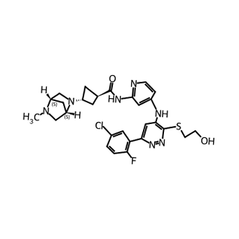 CN1C[C@@H]2C[C@H]1CN2[C@H]1C[C@H](C(=O)Nc2cc(Nc3cc(-c4cc(Cl)ccc4F)nnc3SCCO)ccn2)C1